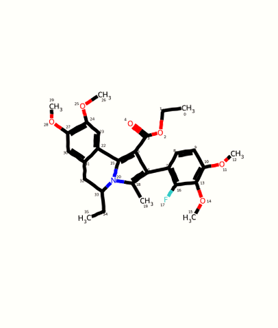 CCOC(=O)c1c(-c2ccc(OC)c(OC)c2F)c(C)n2c1-c1cc(OC)c(OC)cc1CC2CC